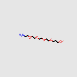 NCCOCCOCCOCCOCCCO